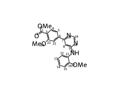 COC(=O)c1ccc(-c2cc(Nc3ccccc3OC)ncn2)cc1OC